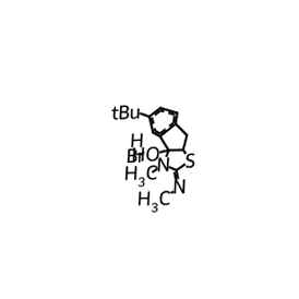 Br.CN=C1SC2Cc3ccc(C(C)(C)C)cc3C2(O)N1C